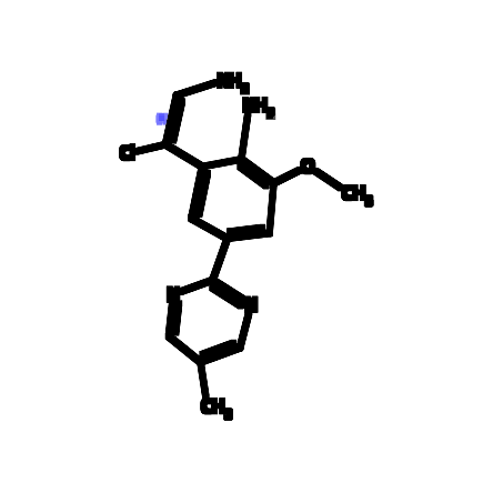 COc1cc(-c2ncc(C)cn2)cc(/C(Cl)=C\N)c1N